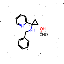 O=CO.c1ccc(CNC2(c3ccccn3)CC2)cc1